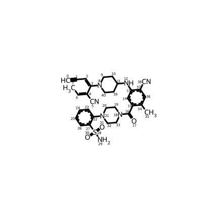 C#C/C=C(\C(C#N)=C/C)N1CCC(Nc2cc(C(=O)N3CCN(c4ccccc4S(N)(=O)=O)CC3)c(C)cc2C#N)CC1